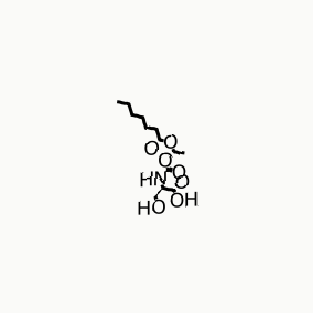 CCCCCCC(=O)OC(C)OC(=O)N[C@H](CO)C(=O)O